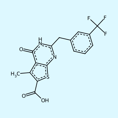 Cc1c(C(=O)O)sc2nc(Cc3cccc(C(F)(F)F)c3)[nH]c(=O)c12